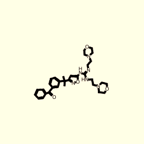 CC(C)(c1cccc(C(=O)c2ccccc2)c1)c1cc(N/C(=N\CCN2CCOCC2)NCCN2CCOCC2)on1